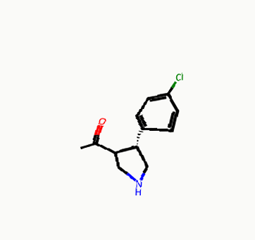 CC(=O)C1CNC[C@H]1c1ccc(Cl)cc1